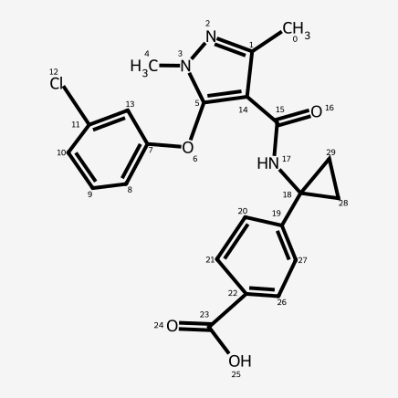 Cc1nn(C)c(Oc2cccc(Cl)c2)c1C(=O)NC1(c2ccc(C(=O)O)cc2)CC1